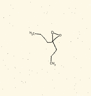 CCCC1(CCC)OO1